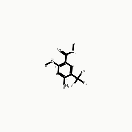 COC(=O)c1cc(C(F)(F)F)c(N)cc1OC